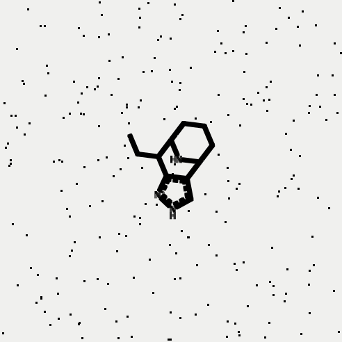 CCC1c2n[nH]cc2C2CCCC1N2